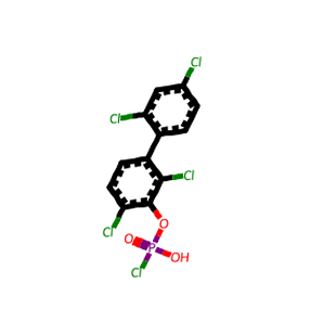 O=P(O)(Cl)Oc1c(Cl)ccc(-c2ccc(Cl)cc2Cl)c1Cl